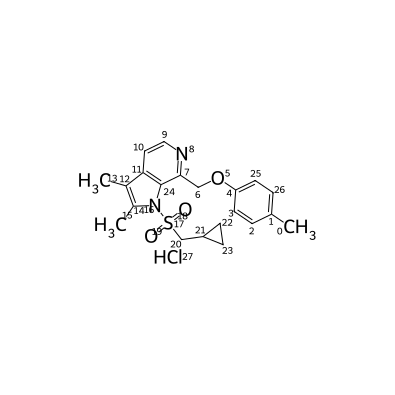 Cc1ccc(OCc2nccc3c(C)c(C)n(S(=O)(=O)CC4CC4)c23)cc1.Cl